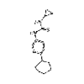 S=C(Nc1ccc(C2CCCCC2)cc1)NC1CC1